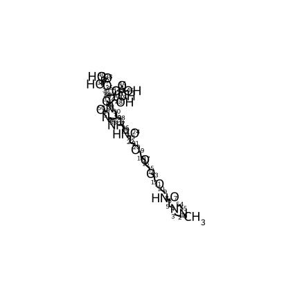 CN1CCN(CC(=O)NCCOCCOCCOCCOCCC(=O)NCCCc2cn([C@@H]3O[C@H](COP(=O)(O)O)C(OP(=O)(O)O)C3O)c(=O)nc2N)CC1